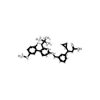 COc1ccc(F)c(-c2ccc(OCc3cccc(C(CC(=O)O)C4CC4)c3)nc2CC(C)(C)C)c1